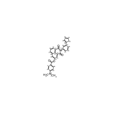 CN(C)c1ccc(C(=O)Oc2cc3c4c(cccc4c2)C(=O)N(c2cccc(C4=CC=CC4)c2)C3=O)cc1